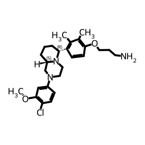 COc1cc(N2CCN3[C@@H](CCC[C@@H]3c3ccc(OCCCN)c(C)c3C)C2)ccc1Cl